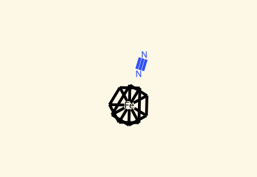 N#N.[CH]12[CH]3[CH]4[CH]5[CH]1[Fe]23451678[CH]2[CH]1[CH]6[CH]7[CH]28